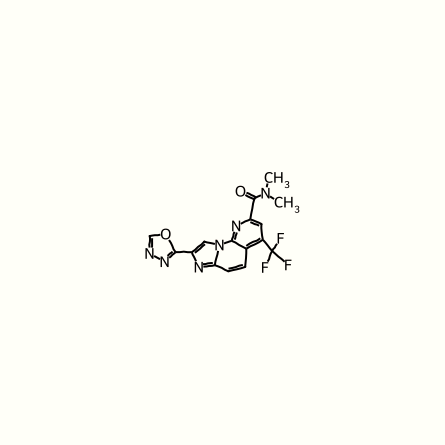 CN(C)C(=O)c1cc(C(F)(F)F)c2ccc3nc(-c4nnco4)cn3c2n1